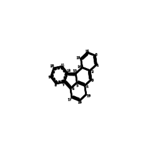 C1=CC2=CC3=C4C(=c5ccccc5=C4C2C=C1)C=CC3